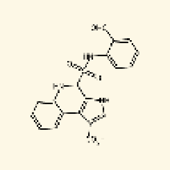 O=Cc1ccccc1NS(=O)(=O)C1Nc2ccccc2-c2c(C(=O)O)c[nH]c21